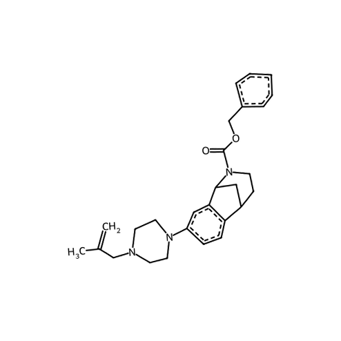 C=C(C)CN1CCN(c2ccc3c(c2)C2CC3CCN2C(=O)OCc2ccccc2)CC1